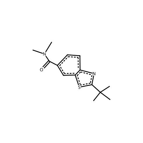 CN(C)C(=O)c1ccc2nc(C(C)(C)C)sc2c1